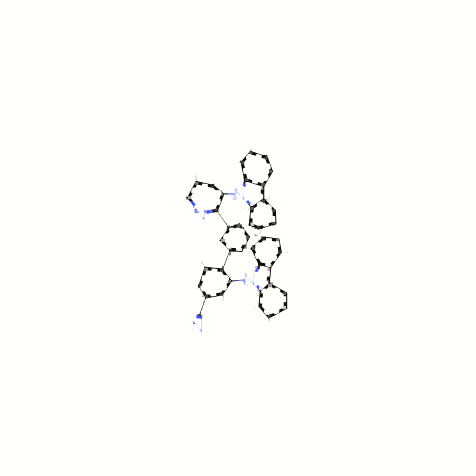 N#Cc1ccc(-c2cccc(-c3ncccc3-n3c4ccccc4c4ccccc43)c2)c(-n2c3ccccc3c3ccccc32)c1